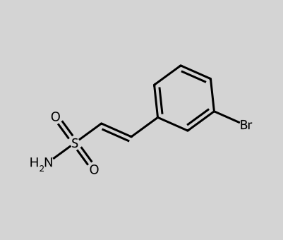 NS(=O)(=O)C=Cc1cccc(Br)c1